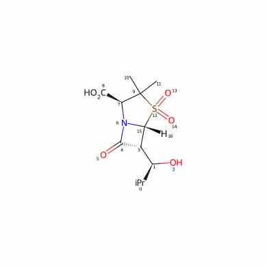 CC(C)[C@H](O)[C@@H]1C(=O)N2[C@@H](C(=O)O)C(C)(C)S(=O)(=O)[C@H]12